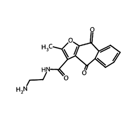 Cc1oc2c(c1C(=O)NCCN)C(=O)c1ccccc1C2=O